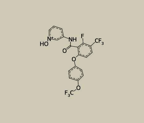 O=C(Nc1ccc[n+](O)c1)c1c(Oc2ccc(OC(F)(F)F)cc2)ccc(C(F)(F)F)c1F